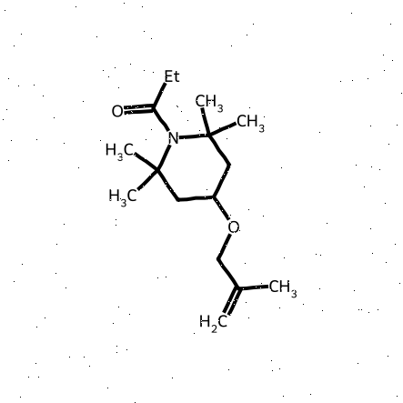 C=C(C)COC1CC(C)(C)N(C(=O)CC)C(C)(C)C1